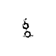 COc1ccc([C@H]2CNC[C@H](F)C2)cn1